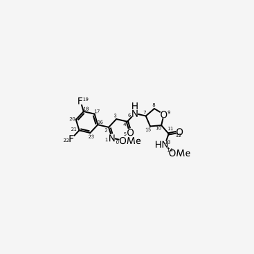 CO/N=C(\CC(=O)NC1COC(C(=O)NOC)C1)c1cc(F)cc(F)c1